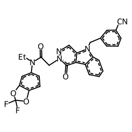 CCN(C(=O)Cn1ncc2c(c1=O)c1ccccc1n2Cc1cccc(C#N)c1)c1ccc2c(c1)OC(F)(F)O2